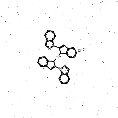 C1=C(n2ncc3ccccc32)[CH]([Ti+2][CH]2C(n3ncc4ccccc43)=Cc3ccccc32)c2ccccc21.[Cl-].[Cl-]